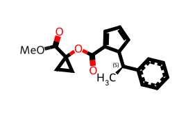 COC(=O)C1(OC(=O)C2=CC=CC2[C@H](C)c2ccccc2)CC1